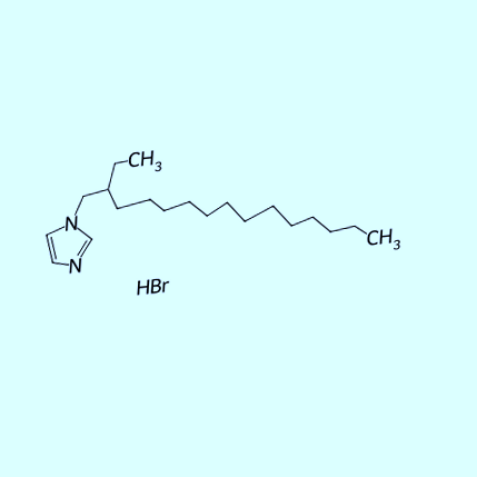 Br.CCCCCCCCCCCCCC(CC)Cn1ccnc1